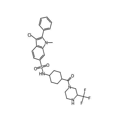 Cn1c(-c2ccccc2)c(Cl)c2ccc(S(=O)(=O)NC3CCC(C(=O)N4CCNC(C(F)(F)F)C4)CC3)cc21